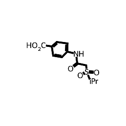 CC(C)S(=O)(=O)CC(=O)Nc1ccc(C(=O)O)cc1